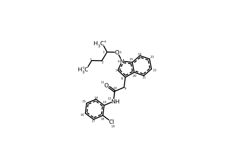 CCCC(C)On1cc(CC(=O)Nc2ccccc2Cl)c2ccccc21